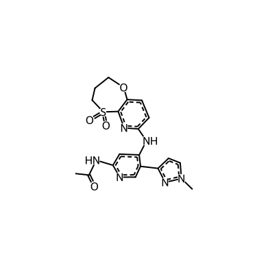 CC(=O)Nc1cc(Nc2ccc3c(n2)S(=O)(=O)CCCO3)c(-c2ccn(C)n2)cn1